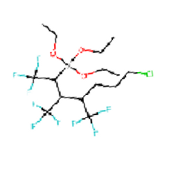 CCO[Si](OCC)(OCC)C(C(C(CCCCl)C(F)(F)F)C(F)(F)F)C(F)(F)F